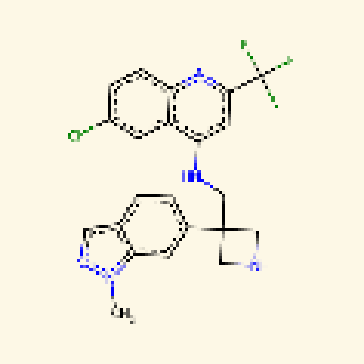 Cn1ncc2ccc(C3(CNc4cc(C(F)(F)F)nc5ccc(Cl)cc45)CNC3)cc21